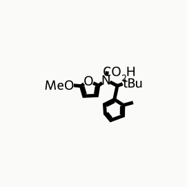 COc1ccc(N(C(=O)O)C(c2ccccc2C)C(C)(C)C)o1